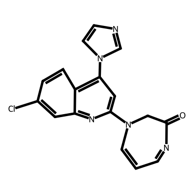 O=C1CN(c2cc(-n3ccnc3)c3ccc(Cl)cc3n2)C=CC=N1